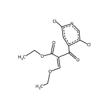 CCO/C=C(\C(=O)OCC)C(=O)c1cc(Cl)ncc1Cl